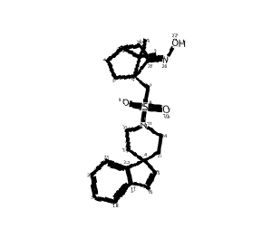 CC1(C)C2CC[C@@]1(CS(=O)(=O)N1CCC3(C=Cc4ccccc43)CC1)C(=NO)C2